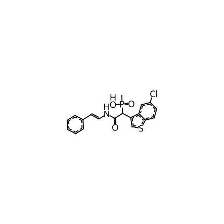 CP(=O)(O)C(C(=O)N/C=C/c1ccccc1)c1csc2ccc(Cl)cc12